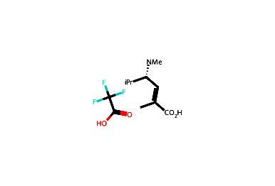 CN[C@H](C=C(C)C(=O)O)C(C)C.O=C(O)C(F)(F)F